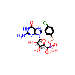 Nc1nc2c(ncn2[C@@H]2O[C@H](C(O)P(=O)(O)OSc3ccc(Cl)cc3)[C@@H](O)[C@H]2O)c(=O)[nH]1